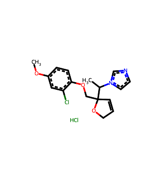 COc1ccc(OCC2(C(C)n3ccnc3)C=CCO2)c(Cl)c1.Cl